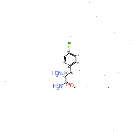 NC(=O)[C@H](N)Cc1ccc(F)cc1